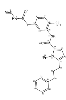 CSNC(=O)Cc1ccc(C(F)(F)F)c(NC(=O)c2ccc(CCCc3ccccc3)n2C(C)C)c1